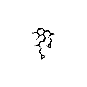 CCC1C=CC(CC(=O)OCC2CO2)C(C=CCC(=O)OCC2CO2)C1CC